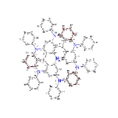 c1ccc(N(c2ccccc2)c2cc(N(c3ccccc3)c3ccccc3)c3c(c2)N2c4cc(N(c5ccccc5)c5ccccc5)cc5c4B(c4ccccc4N5c4ccccc4)c4c(N(c5ccccc5)c5ccccc5)cc5c(c42)B3c2ccccc2N5c2ccccc2)cc1